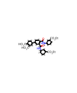 CCOC(=O)c1cccc(NC(=O)c2ccc(-c3ccc(C(=O)O)c(C(=O)O)c3)cc2C(=O)Nc2cccc(C(=O)OCC)c2)c1